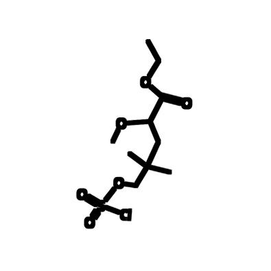 CCOC(=O)C(CC(C)(C)COS(=O)(=O)Cl)OC